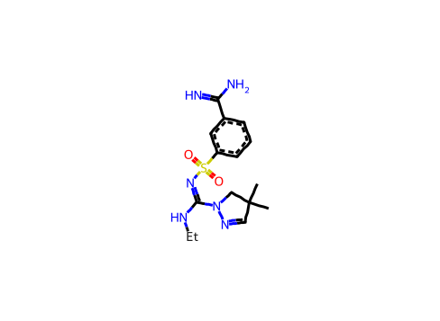 CCN/C(=N/S(=O)(=O)c1cccc(C(=N)N)c1)N1CC(C)(C)C=N1